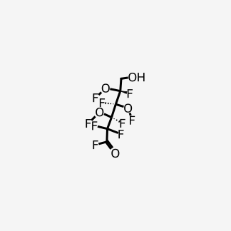 O=C(F)C(F)(F)[C@@](F)(OF)[C@](F)(OF)[C@@](F)(CO)OF